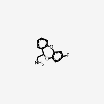 NCC1Oc2ccc(F)cc2Oc2ccccc21